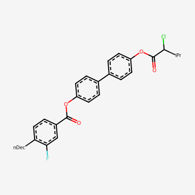 CCCCCCCCCCc1ccc(C(=O)Oc2ccc(-c3ccc(OC(=O)C(Cl)C(C)C)cc3)cc2)cc1F